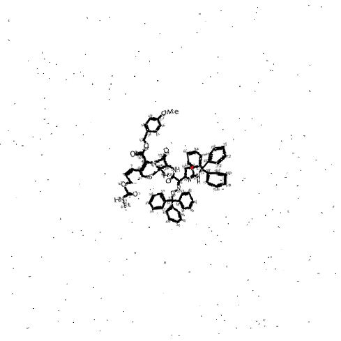 CCNC(=O)OC/C=C\C1=C(C(=O)OCc2ccc(OC)cc2)N2C(=O)C(NC(=O)/C(=N\OC(c3ccccc3)(c3ccccc3)c3ccccc3)c3csc(NC(c4ccccc4)(c4ccccc4)c4ccccc4)n3)[C@@H]2SC1